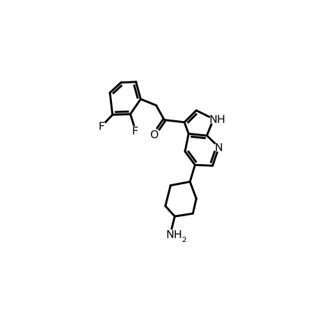 NC1CCC(c2cnc3[nH]cc(C(=O)Cc4cccc(F)c4F)c3c2)CC1